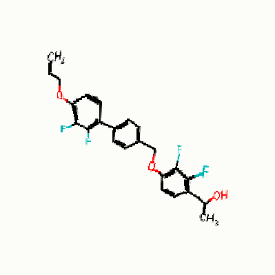 C=CCOc1ccc(-c2ccc(COc3ccc(C(C)O)c(F)c3F)cc2)c(F)c1F